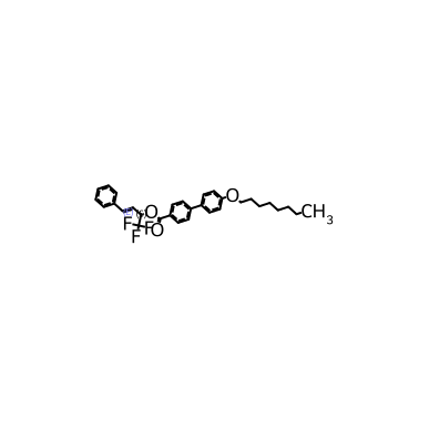 CCCCCCCCOc1ccc(-c2ccc(C(=O)O[C@@H](/C=C/c3ccccc3)C(F)(F)F)cc2)cc1